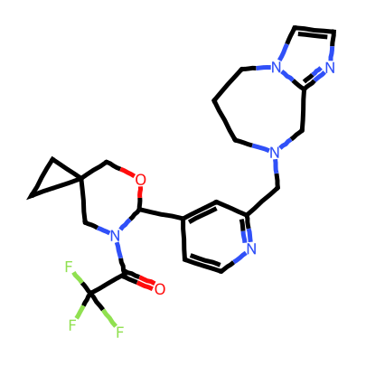 O=C(N1CC2(CC2)COC1c1ccnc(CN2CCCn3ccnc3C2)c1)C(F)(F)F